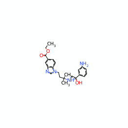 CCOC(=O)c1ccc2c(c1)ncn2CCC(C)(C)NC[C@H](O)c1cccc(N)c1